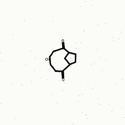 O=C1CCCCC(=O)C2CCC1C2.[CH2]